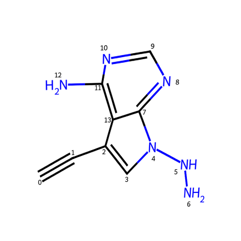 C#Cc1cn(NN)c2ncnc(N)c12